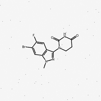 Cn1nc(N2CCC(=O)NC2=O)c2cc(F)c(Br)cc21